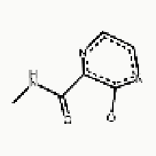 CNC(=O)c1nccnc1[O]